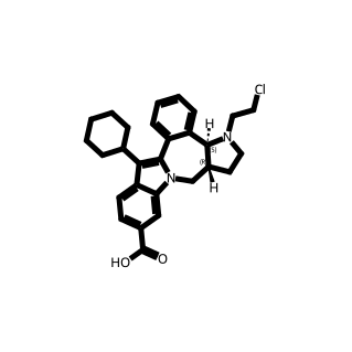 O=C(O)c1ccc2c(C3CCCCC3)c3n(c2c1)C[C@H]1CCN(CCCl)[C@@H]1c1ccccc1-3